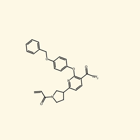 C=CC(=O)N1CCC(c2ccc(C(N)=O)c(Oc3ccc(OCc4ccccc4)cc3)n2)C1